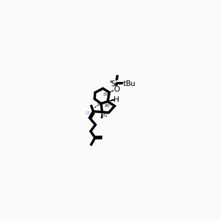 C=C(C)CC/C=C(/C)[C@@]1(C)CC[C@H]2[C@@H](O[Si](C)(C)C(C)(C)C)CCC[C@@]21C